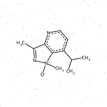 CC1=N[N+](C)([O-])c2c(C(C)C)ccnc21